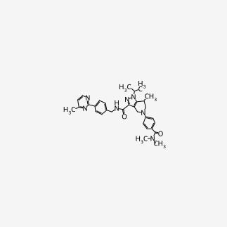 Cc1ccnc(-c2ccc(CNC(=O)c3nn(C(C)C)c4c3CN(c3ccc(C(=O)N(C)C)cc3)C[C@@H]4C)cc2)n1